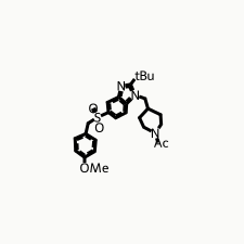 COc1ccc(CS(=O)(=O)c2ccc3c(c2)nc(C(C)(C)C)n3CC2CCN(C(C)=O)CC2)cc1